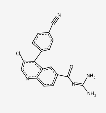 N#Cc1ccc(-c2c(Cl)cnc3ccc(C(=O)N=C(N)N)cc23)cc1